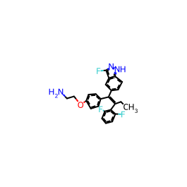 CCC(=C(c1ccc(OCCN)cc1)c1ccc2[nH]nc(F)c2c1)c1c(F)cccc1F